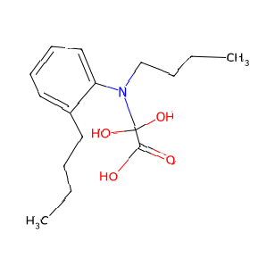 CCCCc1ccccc1N(CCCC)C(O)(O)C(=O)O